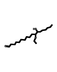 CCCCCCC(O)C(CCCCCCCCCC=O)OCC